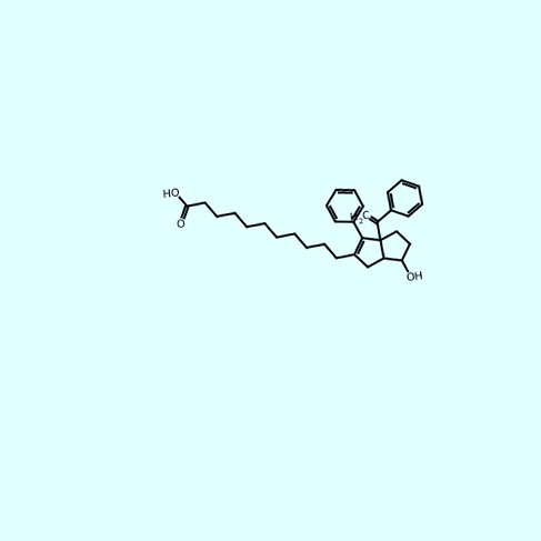 C=C(c1ccccc1)C12CCC(O)C1CC(CCCCCCCCCCC(=O)O)=C2c1ccccc1